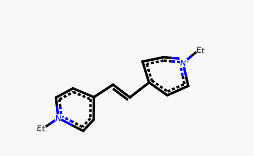 CC[n+]1ccc(C=Cc2cc[n+](CC)cc2)cc1